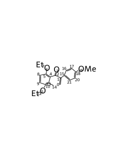 C=C(C(=O)c1c(OCC)ccc(OCC)c1C)c1ccc(OC)cc1